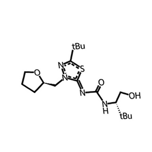 CC(C)(C)c1nn(C[C@H]2CCCO2)/c(=N/C(=O)N[C@H](CO)C(C)(C)C)s1